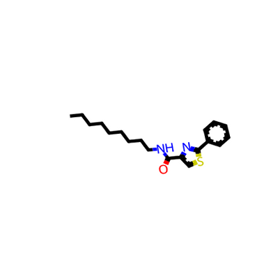 CCCCCCCCCNC(=O)c1csc(-c2ccccc2)n1